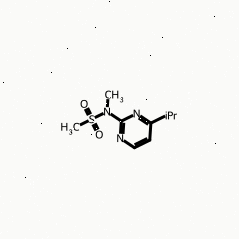 CC(C)c1ccnc(N(C)S(C)(=O)=O)n1